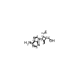 C=C1[C@@H](n2cnc3c(N)ncnc32)[C@H](CF)[C@H]1CO